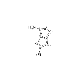 CCc1nc2scc(N)c2s1